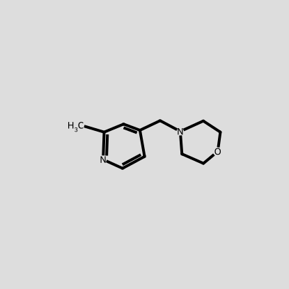 Cc1cc(CN2CCOCC2)ccn1